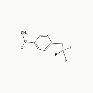 C[S+]([O-])c1ccc(CC(F)(F)F)cc1